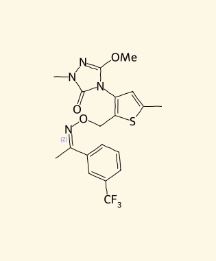 COc1nn(C)c(=O)n1-c1cc(C)sc1CO/N=C(/C)c1cccc(C(F)(F)F)c1